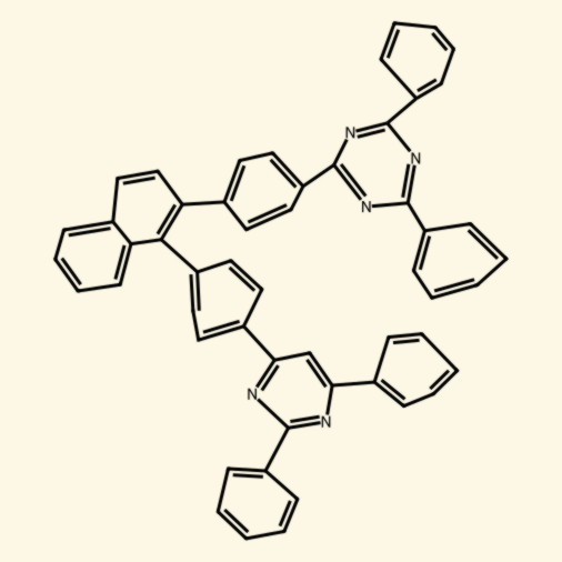 c1ccc(-c2cc(-c3ccc(-c4c(-c5ccc(-c6nc(-c7ccccc7)nc(-c7ccccc7)n6)cc5)ccc5ccccc45)cc3)nc(-c3ccccc3)n2)cc1